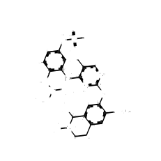 COc1cc2c(cc1Nc1ncc(Cl)c(Nc3cc(OS(=O)(=O)F)ccc3OP(C)C)n1)C(C)N(C)CC2.P